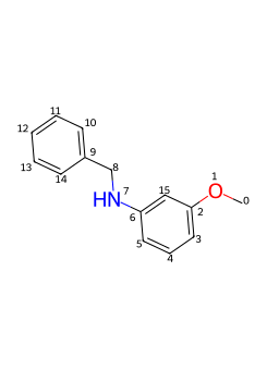 COc1cccc(NCc2ccccc2)c1